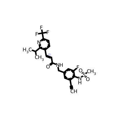 C#Cc1cc(CNC(=O)/C=C/c2ccc(C(F)(F)F)nc2C(C)C)cc(F)c1NS(C)(=O)=O